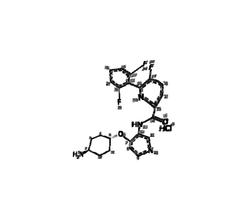 Cl.N[C@H]1CC[C@H](Oc2ccncc2NC(=O)c2ccc(F)c(-c3c(F)cccc3F)n2)CC1